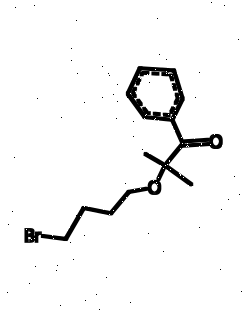 CC(C)(OCCCCBr)C(=O)c1ccccc1